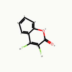 O=c1oc2ccccc2c(F)c1F